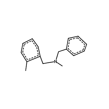 Cc1ccccc1CN(C)Cc1ccccc1